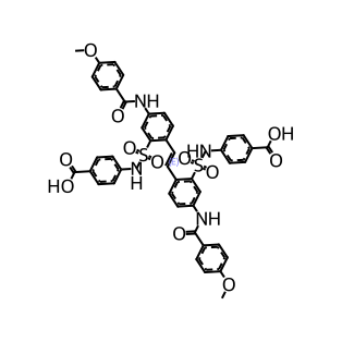 COc1ccc(C(=O)Nc2ccc(/C=C/c3ccc(NC(=O)c4ccc(OC)cc4)cc3S(=O)(=O)Nc3ccc(C(=O)O)cc3)c(S(=O)(=O)Nc3ccc(C(=O)O)cc3)c2)cc1